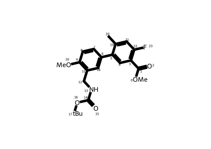 COC(=O)c1cc(-c2ccc(OC)c(CNC(=O)OC(C)(C)C)c2)c(C)cc1F